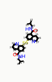 CC(C)CNC(=O)c1ccc(SSc2ccc(C(=O)NCC(C)C)c3cccnc23)c2ncccc12